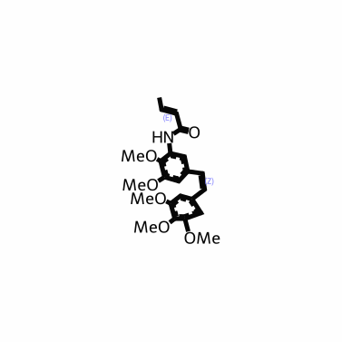 C/C=C/C(=O)Nc1cc(/C=C\c2cc(OC)c(OC)c(OC)c2)cc(OC)c1OC